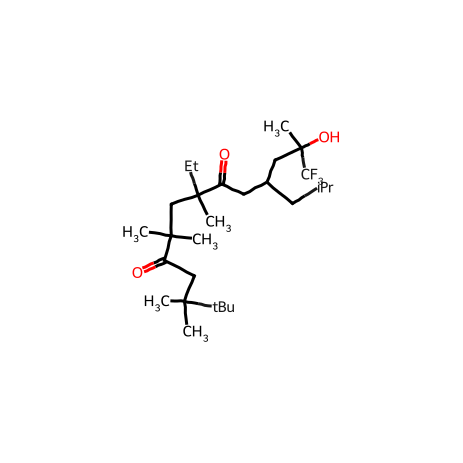 CCC(C)(CC(C)(C)C(=O)CC(C)(C)C(C)(C)C)C(=O)CC(CC(C)C)CC(C)(O)C(F)(F)F